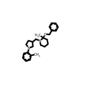 Cc1ccccc1N1CCC(CN2CCCCC2(C)OCc2ccccc2)C1